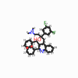 CN(C)CCC(O)(Cc1c(Cc2ccccc2)c(-c2ccccc2)nc2ccccc12)c1cc(F)cc(F)c1